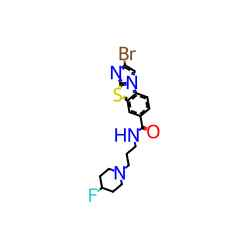 O=C(NCCCN1CCC(F)CC1)c1ccc2c(c1)sc1nc(Br)cn12